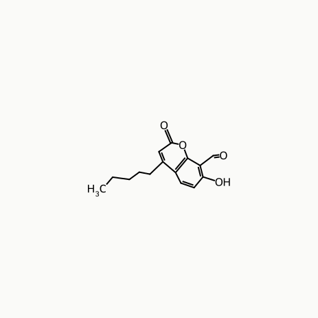 CCCCCc1cc(=O)oc2c(C=O)c(O)ccc12